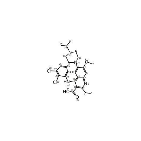 CCc1nc2cc(OC)c(N3CCN(C(C)C)CC3)cc2c(Nc2cccc(Cl)c2Cl)c1C(=O)O